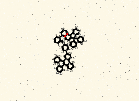 c1ccc(-c2ccccc2N(c2ccc(-c3ccc4c(c3)c(-c3ccccc3)c(-c3ccccc3)c3ccccc34)cc2)c2ccc3c(c2)C(c2ccccc2)(c2ccccc2)c2ccccc2-3)cc1